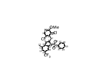 COc1ncc(Cl)c(Cc2cc3c(C)cc(C(F)(F)F)cc3n2S(=O)(=O)c2ccccc2)c1Cl